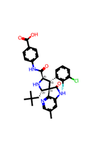 Cc1cnc2c(c1)NC(=O)[C@@]21[C@H](CC(C)(C)C)N[C@@H](C(=O)Nc2ccc(C(=O)O)cc2)[C@@H]1c1cccc(Cl)c1F